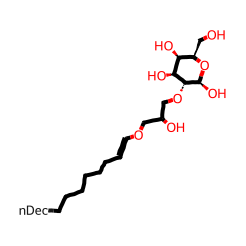 CCCCCCCCCCCCCCCC/C=C/OCC(O)CO[C@@H]1[C@@H](O)[C@@H](O)[C@@H](CO)O[C@H]1O